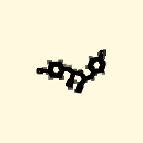 C#CC(Cc1ccc(Cl)cc1)OC(C#C)Cc1ccc(Cl)cc1